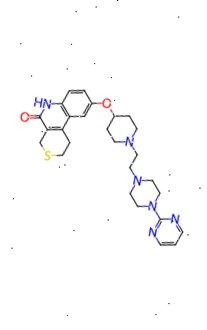 O=c1[nH]c2ccc(OC3CCN(CCN4CCN(c5ncccn5)CC4)CC3)cc2c2c1CSCC2